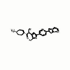 CC(=O)c1sc(-c2ccc(-c3cn4ccsc4n3)nc2)cc1N(C(=O)[C@H]1CC[C@H](C)CC1)C(C)C